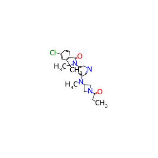 CCC(=O)N1CC(N(C)c2cncc(N3C(=O)c4ccc(Cl)cc4C3(C)C)c2)C1